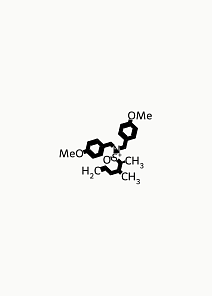 C=CCC(C)[C@H](C)[S+]([O-])N(Cc1ccc(OC)cc1)Cc1ccc(OC)cc1